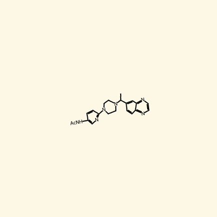 CC(=O)Nc1ccc(N2CCN(C(C)c3ccc4nccnc4c3)CC2)nc1